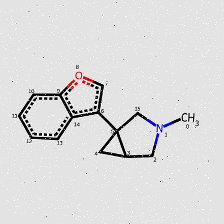 CN1CC2CC2(c2coc3ccccc23)C1